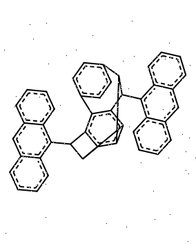 c1ccc2c(C3c4c5c6c7c(c4C7C6c4c6ccccc6cc6ccccc46)C3c3ccc-5cc3)c3ccccc3cc2c1